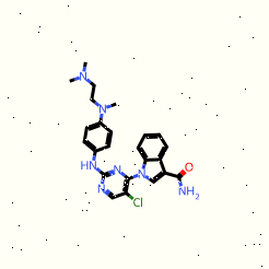 CN(C)CCN(C)c1ccc(Nc2ncc(Cl)c(-n3cc(C(N)=O)c4ccccc43)n2)cc1